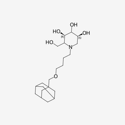 OCC1[C@@H](O)C(O)[C@@H](O)CN1CCCCOCC12CC3CC(CC(C3)C1)C2